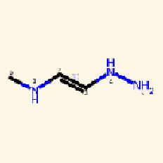 CN/C=C/NN